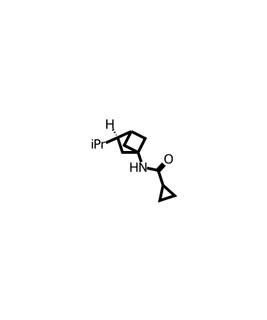 CC(C)[C@@H]1CC2(NC(=O)C3CC3)CC1C2